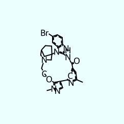 Cc1cc2cc(n1)-c1cnn(C)c1OCCN1CC3CCC(C3)(C1)n1c(nc3ccc(Br)cc31)NC2=O